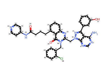 Nc1ncnc2c1c(-c1cccc(O)c1)nn2Cc1nc2cccc(CCCC(=O)Nc3ccncc3)c2c(=O)n1Cc1ccccc1Cl